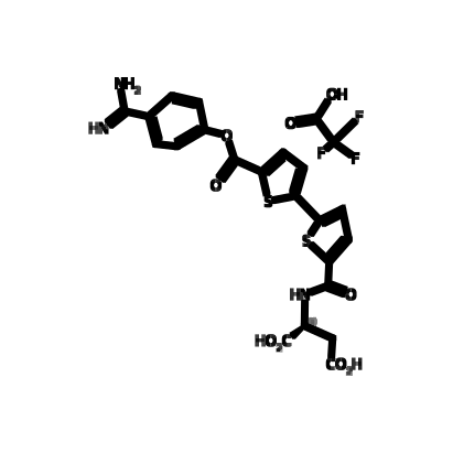 N=C(N)c1ccc(OC(=O)c2ccc(-c3ccc(C(=O)N[C@@H](CC(=O)O)C(=O)O)s3)s2)cc1.O=C(O)C(F)(F)F